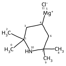 CC1(C)C[CH]([Mg+])CC(C)(C)N1.[Cl-]